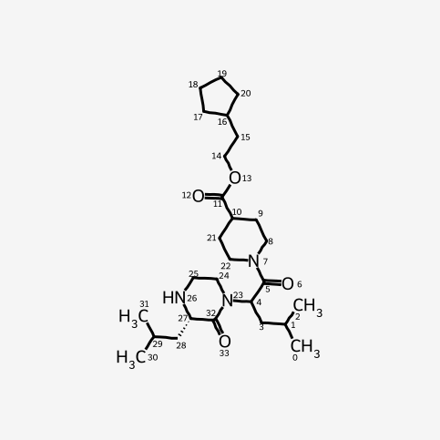 CC(C)CC(C(=O)N1CCC(C(=O)OCCC2CCCC2)CC1)N1CCN[C@@H](CC(C)C)C1=O